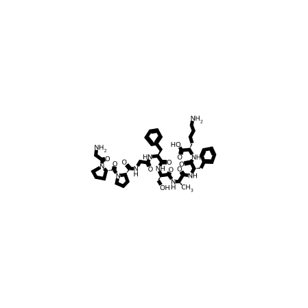 C[C@H](NC(=O)[C@H](CO)NC(=O)[C@H](Cc1ccccc1)NC(=O)CNC(=O)[C@@H]1CCCN1C(=O)[C@@H]1CCCN1C(=O)CN)C(=O)N[C@@H](Cc1ccccc1)C(=O)N[C@@H](CCCCN)C(=O)O